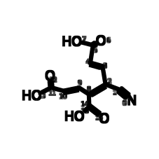 N#CC(C=CC(=O)O)=C(C=CC(=O)O)C(=O)O